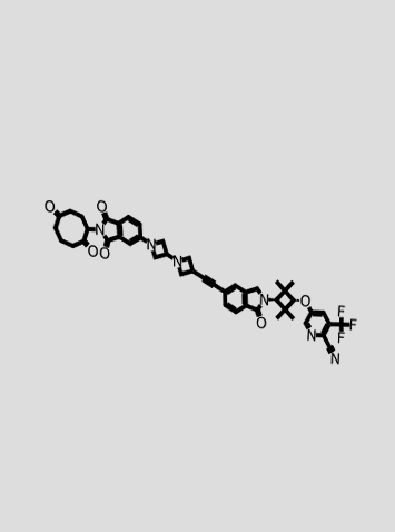 CC1(C)[C@H](Oc2cnc(C#N)c(C(F)(F)F)c2)C(C)(C)[C@H]1N1Cc2cc(C#CC3CN(C4CN(c5ccc6c(c5)C(=O)N(C5CCC(=O)CCCC5=O)C6=O)C4)C3)ccc2C1=O